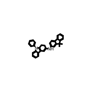 CC1(C)c2ccccc2-c2ccc(NC3=Cc4c(n(-c5ccccc5)c5ccccc45)CC3)cc21